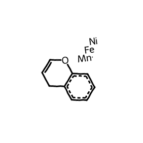 C1=COc2ccccc2C1.[Fe].[Mn].[Ni]